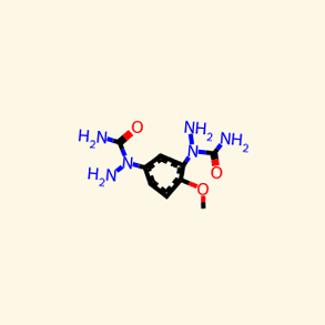 COc1ccc(N(N)C(N)=O)cc1N(N)C(N)=O